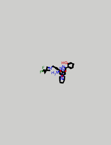 Nc1nnc(-c2ccccc2O)cc1N1CC2CCC(C1)N2c1ccnc(C#CCN2CC3(C2)CC3(F)F)c1